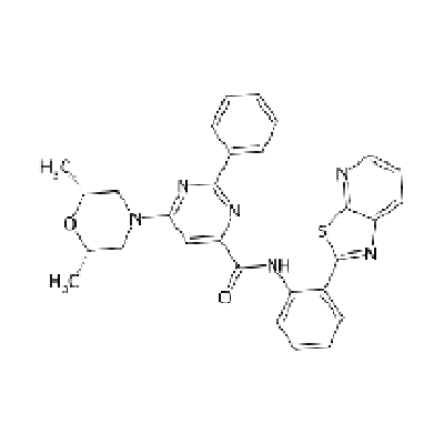 C[C@@H]1CN(c2cc(C(=O)Nc3ccccc3-c3nc4cccnc4s3)nc(-c3ccccc3)n2)C[C@H](C)O1